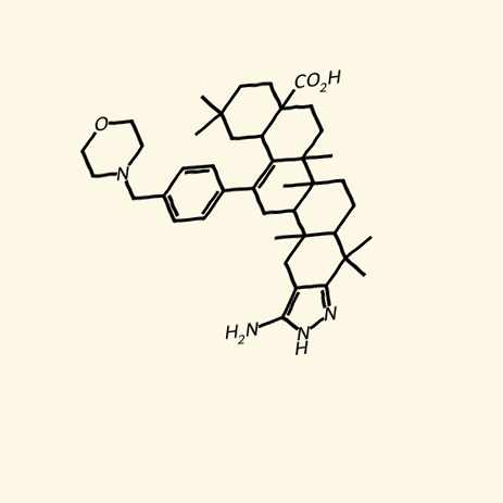 CC1(C)CCC2(C(=O)O)CCC3(C)C(=C(c4ccc(CN5CCOCC5)cc4)CC4C5(C)Cc6c(n[nH]c6N)C(C)(C)C5CCC43C)C2C1